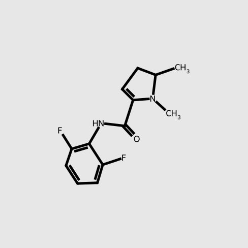 CC1CC=C(C(=O)Nc2c(F)cccc2F)N1C